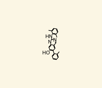 Cc1ccccc1-c1cc2cnc(Nc3c(C)cccc3C)nc2cc1O